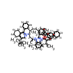 C=C1CC2C(CCc3ccc4c(oc5ccccc54)c3-c3n(-c4c(C(C)C)cc(-c5ccccc5)cc4C(C)C)c4ccccc4[n+]31)c1ccccc1-c1c3c(c([Si](C)(C)C)c[n+]12)CCCC3